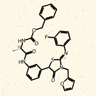 C[C@H](NC(=O)OCc1ccccc1)C(=O)Nc1cccc(C2S/C(=N\c3cccc(F)c3)N(Cc3ccco3)C2=O)c1